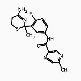 Cc1cnc(C(=O)Nc2ccc(F)c(C3(C)N=C(N)CCS3)c2)cn1